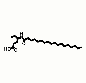 CCCCCCCCCCCCCCCCCC(=O)NC(CC)CCC(=O)O